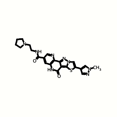 Cn1cc(-c2cn3nc4c5ncc(C(=O)NCCN6CCCC6)cc5[nH]c(=O)c4c3s2)cn1